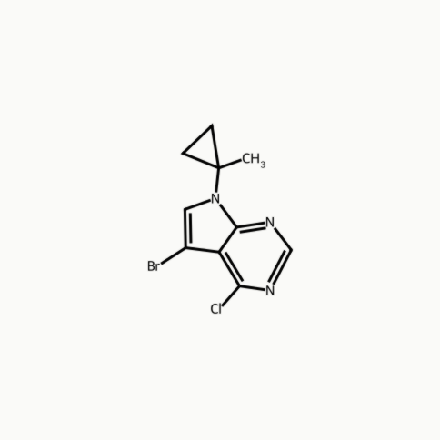 CC1(n2cc(Br)c3c(Cl)ncnc32)CC1